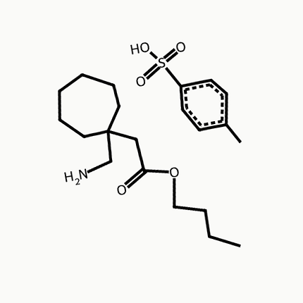 CCCCOC(=O)CC1(CN)CCCCCC1.Cc1ccc(S(=O)(=O)O)cc1